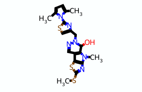 CSc1nc2c(s1)c1c(n2C)C(O)N(Cc2csc(-n3c(C)ccc3C)n2)N=C1